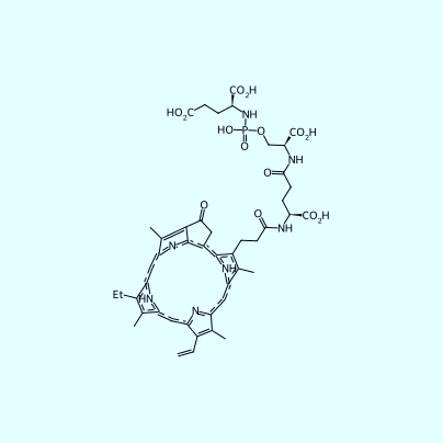 C=CC1=C(C)c2cc3[nH]c(c4c5nc(cc6[nH]c(cc1n2)c(C)c6CC)C(C)=C5C(=O)C4)c(CCC(=O)N[C@@H](CCC(=O)N[C@@H](COP(=O)(O)N[C@@H](CCC(=O)O)C(=O)O)C(=O)O)C(=O)O)c3C